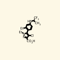 CCc1cc(N[C@H](C)C(F)(F)F)ccc1-c1c(Cl)c(C(=O)O)nn1CC